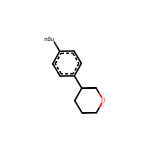 CCCCc1ccc(C2CCCOC2)cc1